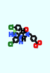 COC(=O)c1ccc(CN2C[C@H]3N[C@@]4(CNc5cc(Cl)ccc54)[C@H](c4cccc(Cl)c4F)[C@H]3C2=O)cc1